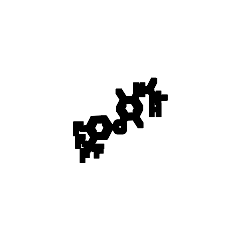 CNC(C)=Nc1cc(C)c(Oc2ccc(F)c(C(F)(F)F)c2)cc1C